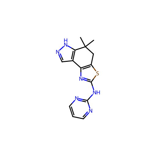 CC1(C)Cc2sc(Nc3ncccn3)nc2-c2cn[nH]c21